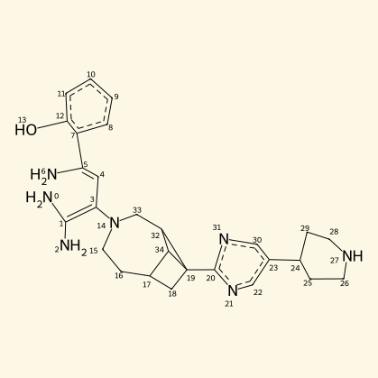 NC(N)=C(/C=C(\N)c1ccccc1O)N1CCC2CC3(c4ncc(C5CCNCC5)cn4)C(C1)C23